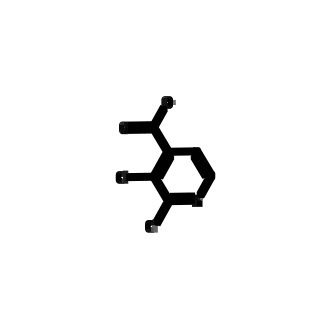 [O]C(=O)c1ccnc(Cl)c1Cl